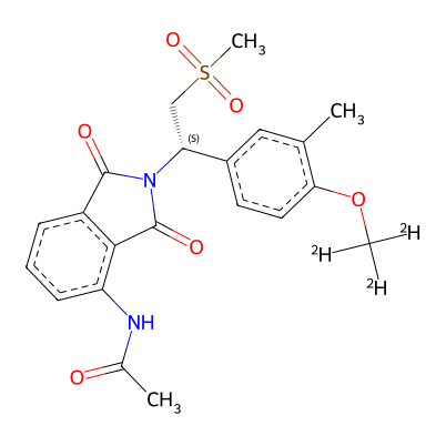 [2H]C([2H])([2H])Oc1ccc([C@@H](CS(C)(=O)=O)N2C(=O)c3cccc(NC(C)=O)c3C2=O)cc1C